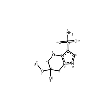 CCOC1(O)COc2c(S(N)(=O)=O)cnn2C1